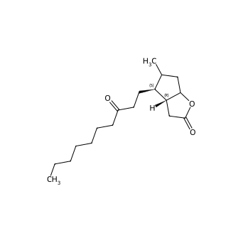 CCCCCCCC(=O)CC[C@H]1C(C)CC2OC(=O)C[C@@H]21